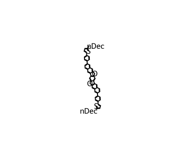 CCCCCCCCCCc1ccc(-c2ccc(-c3ccc4cc5c(cc4c3)oc3cc4c(cc35)oc3cc5cc(-c6ccc(-c7ccc(CCCCCCCCCC)s7)cc6)ccc5cc34)cc2)s1